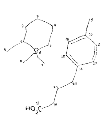 CC1CCCC[Si]1(C)C.Cc1ccc(CCCC(=O)O)cc1